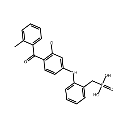 Cc1ccccc1C(=O)c1ccc(Nc2ccccc2CP(=O)(O)O)cc1Cl